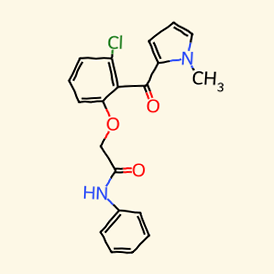 Cn1cccc1C(=O)c1c(Cl)cccc1OCC(=O)Nc1ccccc1